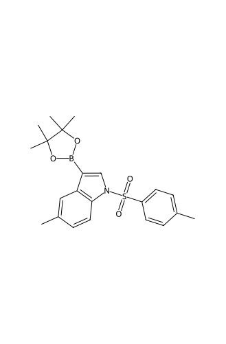 Cc1ccc(S(=O)(=O)n2cc(B3OC(C)(C)C(C)(C)O3)c3cc(C)ccc32)cc1